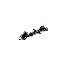 O=C1CC[C@H](N2Cc3c(ccc4c3OCC43CCN(C(=O)C4CCC(N5CCC(c6ccc7c(c6)C6(CCCCC6)c6nc(=O)c8c(Cl)cccc8n6-7)CC5)C4)CC3)C2=O)C(=O)N1